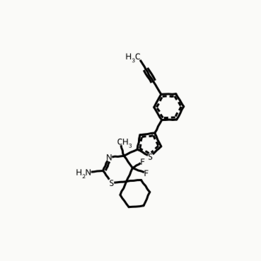 CC#Cc1cccc(-c2csc(C3(C)N=C(N)SC4(CCCCC4)C3(F)F)c2)c1